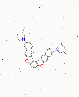 CC1CC(C)CN(c2ccc3cc4c(cc3c2)oc2ccc3oc5cc6cc(N7CC(C)CC(C)C7)ccc6cc5c3c24)C1